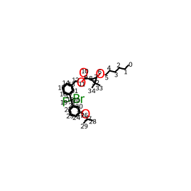 CCCCCCOC1C(C(=O)OCc2cccc(C(F)(Br)c3cccc(OC(C)C)c3)c2)C1(C)C